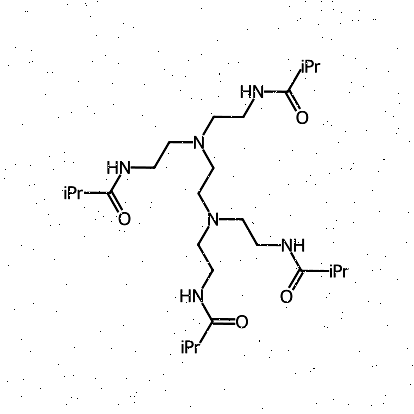 CC(C)C(=O)NCCN(CCNC(=O)C(C)C)CCN(CCNC(=O)C(C)C)CCNC(=O)C(C)C